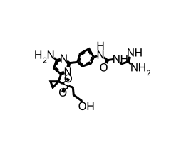 N=C(N)CNC(=O)Nc1ccc(-c2nc(N)cc(C3(S(=O)(=O)CCCO)CC3)n2)cc1